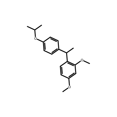 COc1ccc(C(C)c2ccc(OC(C)C)cc2)c(OC)c1